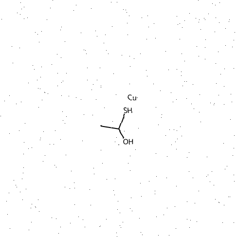 CC(O)S.[Cu]